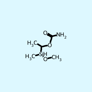 CO[SiH](C)C(C)OC(N)=O